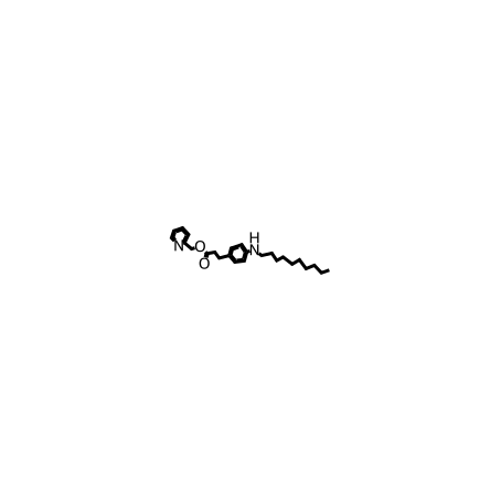 CCCCCCCCCCNc1ccc(CCC(=O)OCc2ccccn2)cc1